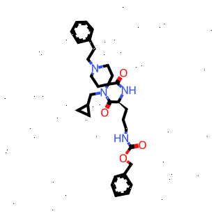 O=C(NCCC[C@@H]1NC(=O)C2(CCN(CCc3ccccc3)CC2)N(CC2CC2)C1=O)OCc1ccccc1